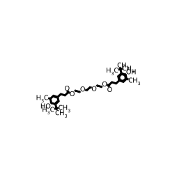 Cc1cc(CCC(=O)OCCOCCOCCOC(=O)CCC2=CC(C)C(O)C(C(C)(C)C)=C2)cc(C(C)(C)C)c1O